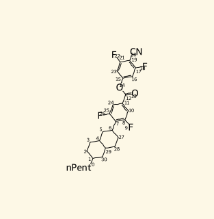 CCCCCC1CCC2CC(c3c(F)cc(C(=O)Oc4cc(F)c(C#N)c(F)c4)cc3F)CCC2C1